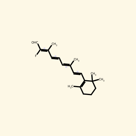 CC1=C(/C=C/C(C)=C/C=C/C(C)=C(\F)C=O)C(C)(C)CCC1